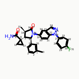 Cc1cccc([C@H]2[C@H](C3(C(N)=O)CC3)[C@@H](C)C(=O)N2c2ccc3c(cnn3-c3ccc(F)cc3)c2)c1